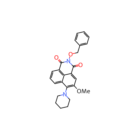 COc1cc2c3c(cccc3c1N1CCCCC1)C(=O)N(OCc1ccccc1)C2=O